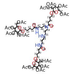 CC(=O)NC1C(OC(C)=O)[C@@H](OC(C)=O)C(COC(C)=O)O[C@H]1OCCCCC(=O)N(CCCNCCCNC(=O)CCCCO[C@@H]1OC(COC(C)=O)[C@H](OC(C)=O)C(OC(C)=O)[C@@H]1NC(C)=O)CCCNC(=O)CCCCO[C@@H]1OC(COC(C)=O)[C@H](OC(C)=O)C(OC(C)=O)[C@@H]1NC(C)=O